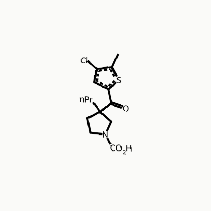 CCCC1(C(=O)c2cc(Cl)c(C)s2)CCN(C(=O)O)C1